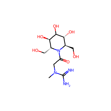 CN(CC(=O)N1[C@H](CO)[C@@H](O)C(O)[C@H](O)[C@H]1CO)C(=N)N